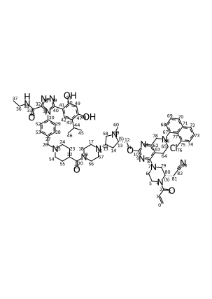 C=CC(=O)N1CCN(c2nc(OC[C@@H]3C[C@H](N4CCN(C(=O)C5CCN(Cc6ccc(-n7c(C(=O)NCC)nnc7-c7cc(C(C)C)c(O)cc7O)cc6)CC5)CC4)CN3C)nc3c2CCN(c2cccc4cccc(Cl)c24)C3)C[C@@H]1CC#N